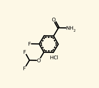 Cl.NC(=O)c1ccc(OC(F)F)c(F)c1